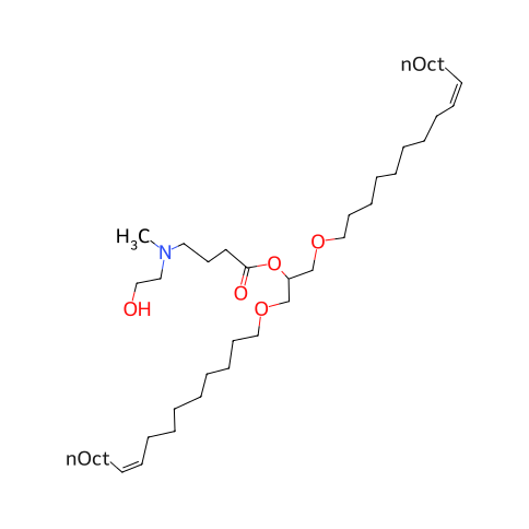 CCCCCCCC/C=C\CCCCCCCCOCC(COCCCCCCCC/C=C\CCCCCCCC)OC(=O)CCCN(C)CCO